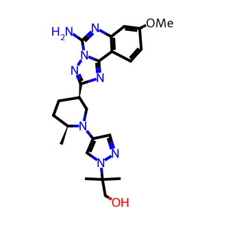 COc1ccc2c(c1)nc(N)n1nc([C@@H]3CC[C@H](C)N(c4cnn(C(C)(C)CO)c4)C3)nc21